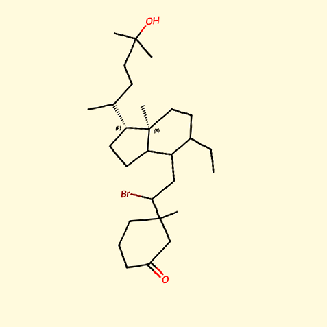 CCC1CC[C@@]2(C)C(CC[C@@H]2C(C)CCC(C)(C)O)C1CC(Br)C1(C)CCCC(=O)C1